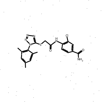 Cc1cc(C)c(-n2nnnc2SCC(=O)Nc2ccc(C(N)=O)cc2Cl)c(C)c1